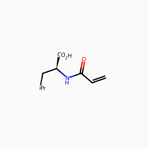 C=CC(=O)N[C@@H](CC(C)C)C(=O)O